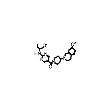 CCC(COC)Nc1ncc(C(=O)N2CCC(N3CCc4ccc(OC)cc4C3)CC2)cn1